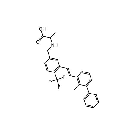 Cc1c(/C=C/c2cc(CNC(C)C(=O)O)ccc2C(F)(F)F)cccc1-c1ccccc1